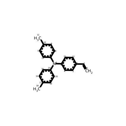 C=Cc1ccc(N(c2ccc(C)cc2)c2ccc(C)cc2)cc1